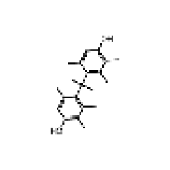 Cc1cc(O)c(C)c(C)c1C(C)(C)c1c(C)cc(O)c(C)c1C